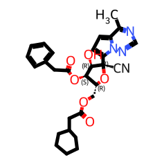 Cc1ncnn2c([C@]3(C#N)O[C@H](COC(=O)CC4CCCCC4)[C@@H](OC(=O)Cc4ccccc4)[C@H]3O)ccc12